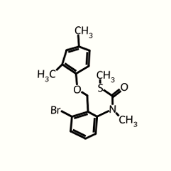 CSC(=O)N(C)c1cccc(Br)c1COc1ccc(C)cc1C